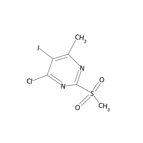 Cc1nc(S(C)(=O)=O)nc(Cl)c1I